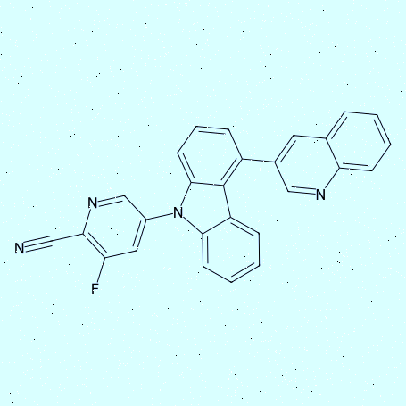 N#Cc1ncc(-n2c3ccccc3c3c(-c4cnc5ccccc5c4)cccc32)cc1F